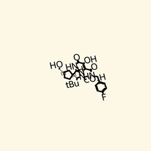 CC(C)(C)C(NC(=O)O)[C@]1(c2nc(C(=O)NCc3ccc(F)cc3)c(O)c(=O)[nH]2)CC[C@H](CO)C1